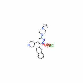 CN1CCN(c2cc(-c3ccncc3)c(-c3ccc4ccccc4c3)nn2)CC1.Cl.Cl.O.O